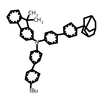 CC(C)(C)c1ccc(-c2ccc(N(c3ccc(-c4ccc(C56CC7CC(CC(C7)C5)C6)cc4)cc3)c3ccc4c(c3)C(C)(C)c3ccccc3-4)cc2)cc1